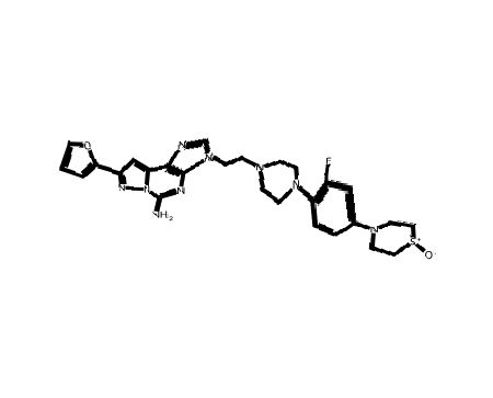 Nc1nc2c(ncn2CCN2CCN(c3ccc(N4CC[S+]([O-])CC4)cc3F)CC2)c2cc(-c3ccco3)nn12